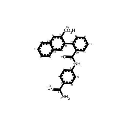 N=C(N)c1ccc(NC(=O)c2ccccc2-c2cc3ccccc3cc2C(=O)O)cc1